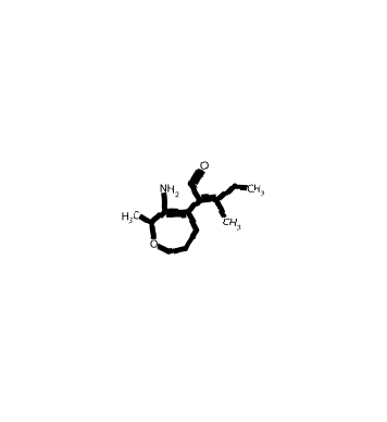 CC/C(C)=C(\C=O)C1=C(N)C(C)OCCC1